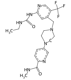 CCNC(=O)Nc1cc(CN2CCN(c3ccc(C(=O)NC)nc3)CC2)c(C(F)(F)F)cn1